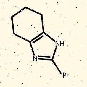 CC(C)c1nc2c([nH]1)CCCC2